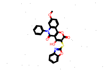 COc1ccc2c3oc(=O)c(Sc4nc5ccccc5o4)c(O)c3c(=O)n(-c3ccccc3)c2c1